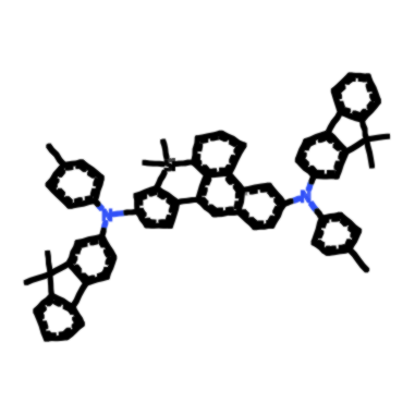 Cc1ccc(N(c2ccc3c(c2)C(C)(C)c2ccccc2-3)c2ccc3c(c2)[Si](C)(C)c2cccc4c2c-3cc2ccc(N(c3ccc(C)cc3)c3ccc5c(c3)C(C)(C)c3ccccc3-5)cc24)cc1